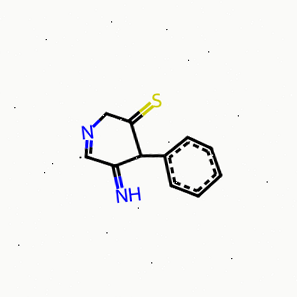 N=C1[C]=NCC(=S)C1c1ccccc1